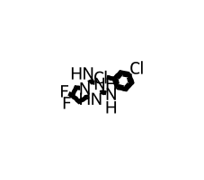 N=C(NC(=N)N1CCC(F)(F)C1)Nc1ccc(Cl)cc1Cl